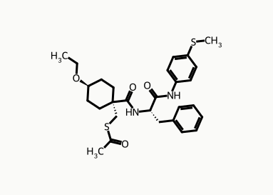 CCO[C@H]1CC[C@@](CSC(C)=O)(C(=O)N[C@@H](Cc2ccccc2)C(=O)Nc2ccc(SC)cc2)CC1